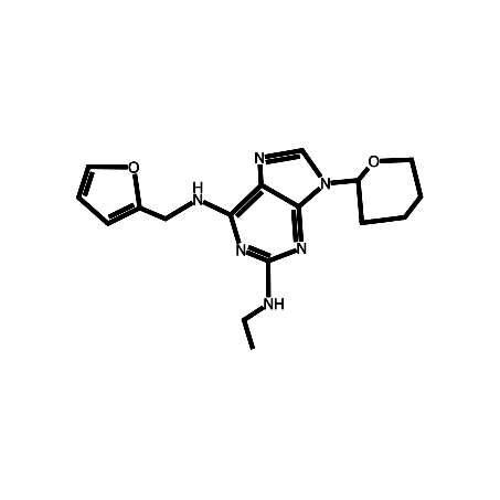 CCNc1nc(NCc2ccco2)c2ncn(C3CCCCO3)c2n1